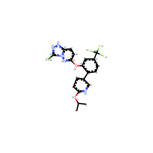 CC(C)Oc1ccc(-c2ccc(C(F)(F)F)cc2Oc2ccc3nnc(Cl)n3n2)cn1